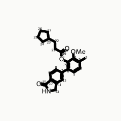 COc1c(C)ccc(-c2ccc3c(c2)CNC3=O)c1OC(=O)CCC1CCCC1